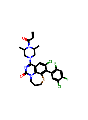 C=CC(=O)N1C(C)CN(c2nc(=O)n3c4c(c(-c5cc(Cl)c(F)cc5F)c(Cl)cc24)SCCC3)CC1C